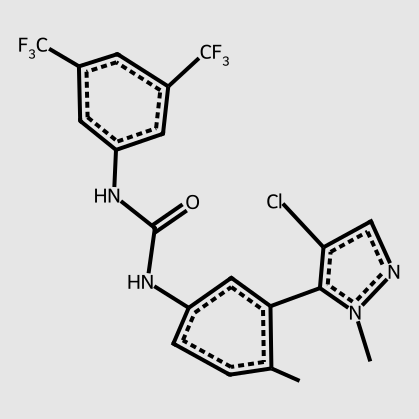 Cc1ccc(NC(=O)Nc2cc(C(F)(F)F)cc(C(F)(F)F)c2)cc1-c1c(Cl)cnn1C